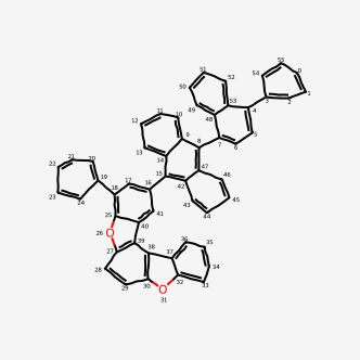 c1ccc(-c2ccc(-c3c4ccccc4c(-c4cc(-c5ccccc5)c5oc6ccc7oc8ccccc8c7c6c5c4)c4ccccc34)c3ccccc23)cc1